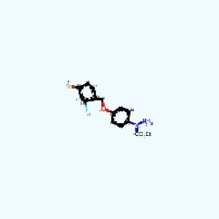 CCOC(=O)N(N)c1ccc(OCc2ccc(Br)cc2F)cc1